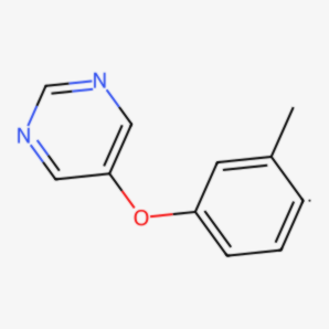 Cc1[c]ccc(Oc2cncnc2)c1